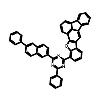 c1ccc(-c2ccc3cc(-c4nc(-c5ccccc5)nc(-c5cccc6c5oc5c7cccc8c7c(cc65)-c5ccccc5-8)n4)ccc3c2)cc1